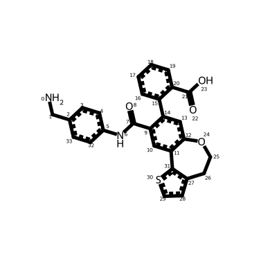 NCc1ccc(NC(=O)c2cc3c(cc2-c2ccccc2C(=O)O)OCCc2ccsc2-3)cc1